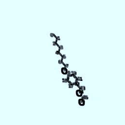 CCCCCCCCOc1ccc(COC=O)cc1